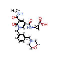 CNC(=O)c1cc(C(=O)NC2CC2)cn(Cc2cccc(CN3CCOCC3)c2)c1=O.O=CO